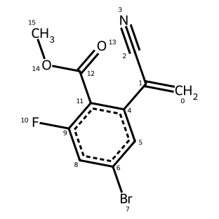 C=C(C#N)c1cc(Br)cc(F)c1C(=O)OC